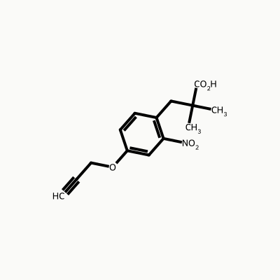 C#CCOc1ccc(CC(C)(C)C(=O)O)c([N+](=O)[O-])c1